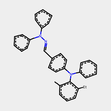 CCc1cccc(C)c1N(c1ccccc1)c1ccc(/C=N/N(c2ccccc2)c2ccccc2)cc1